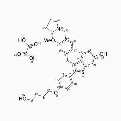 COc1cc(Cc2c(-c3ccc(OCCCCO)cc3)sc3cc(O)ccc23)ccc1CN1CCCC1.O=C(O)C(=O)O